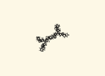 c1ccc2c(c1)ccc1c3ccc(N(c4ccc5c(c4)oc4ccccc45)c4ccc5c(c4)oc4cc6cc7c(cc6cc45)oc4cc(N(c5ccc6c(c5)oc5ccccc56)c5ccc6c(c5)oc5c8ccccc8ccc65)ccc47)cc3oc21